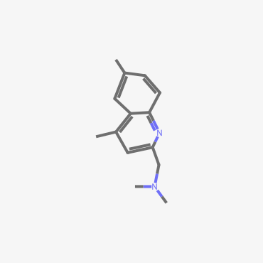 Cc1ccc2nc(CN(C)C)cc(C)c2c1